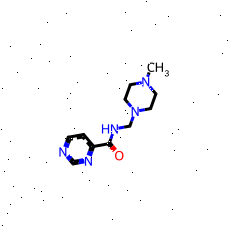 CN1CCN(CNC(=O)c2ccncn2)CC1